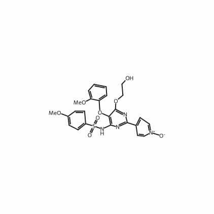 COc1ccc(S(=O)(=O)Nc2nc(-c3cc[n+]([O-])cc3)nc(OCCO)c2Oc2ccccc2OC)cc1